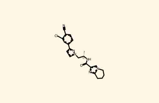 C[C@@H](Cn1ccc(-c2ccc(C#N)c(Cl)c2)n1)NC(=O)c1cn2c(n1)CCCC2